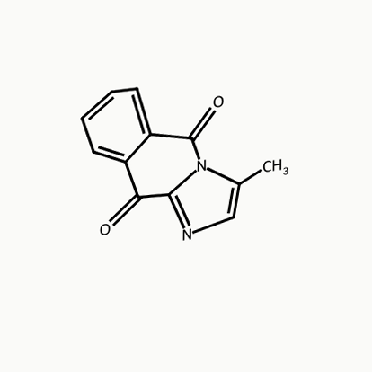 Cc1cnc2n1C(=O)c1ccccc1C2=O